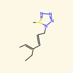 CC=C(C=CCN1N=NN=S1C)CC